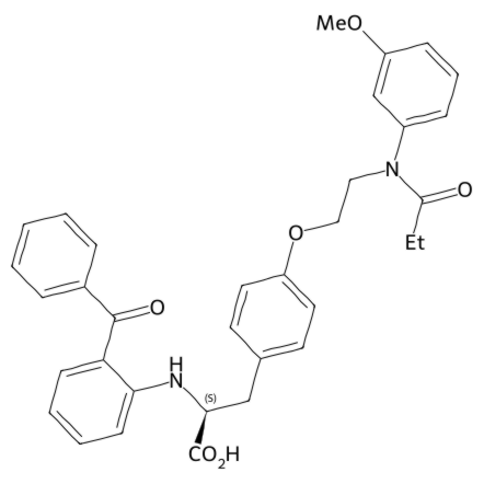 CCC(=O)N(CCOc1ccc(C[C@H](Nc2ccccc2C(=O)c2ccccc2)C(=O)O)cc1)c1cccc(OC)c1